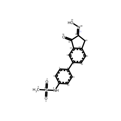 CS(=O)(=O)Nc1ccc(-c2ccc3c(c2)C(=O)/C(=N\O)C3)cc1